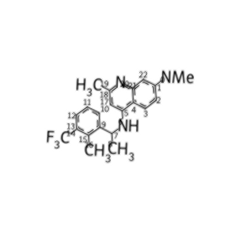 CNc1ccc2c(NC(C)c3cccc(C(F)(F)F)c3C)cc(C)nc2c1